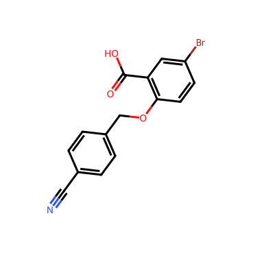 N#Cc1ccc(COc2ccc(Br)cc2C(=O)O)cc1